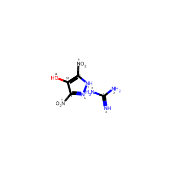 N=C(N)N.O=[N+]([O-])c1n[nH]c([N+](=O)[O-])c1O